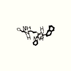 N=C(CCl)NCCC[C@H](NC(=O)c1ccc2ccccc2c1)c1nc2ccccc2[nH]1